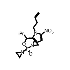 C=CCCn1c(C(OP(=O)(N2CC2)N2CC2)C(C)C)ccc1[N+](=O)[O-]